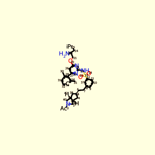 CC(=O)N1C[C@H]2C[C@H](CCc3cccc(S(=O)(=O)Nc4nc(OC[C@H](N)CC(C)C)cc(-c5c(C)cccc5C)n4)c3)C[C@H]2C1